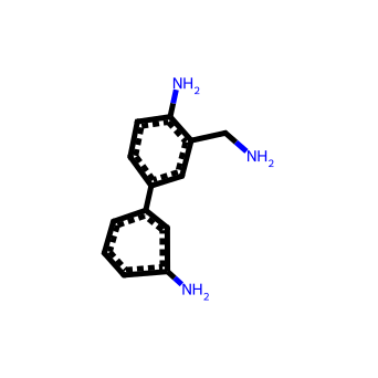 NCc1cc(-c2cccc(N)c2)ccc1N